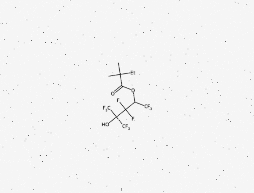 CCC(C)(C)C(=O)OC(C(F)(F)F)C(F)(F)C(O)(C(F)(F)F)C(F)(F)F